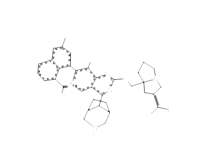 C=C(CC)c1cccc2cc(O)cc(-c3ncc4c(C5C6CCC5CNC6)nc(OCC56CCCN5CC(=C(F)F)C6)nc4c3F)c12